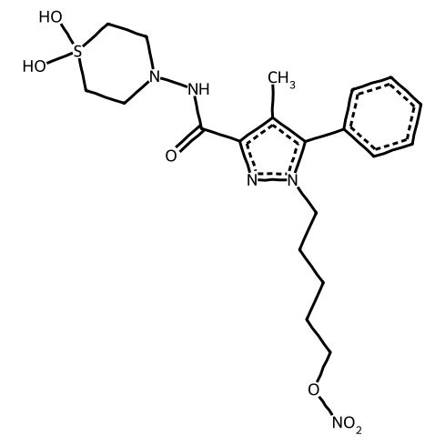 Cc1c(C(=O)NN2CCS(O)(O)CC2)nn(CCCCCO[N+](=O)[O-])c1-c1ccccc1